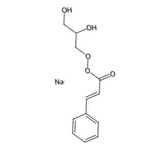 O=C(C=Cc1ccccc1)OOCC(O)CO.[Na]